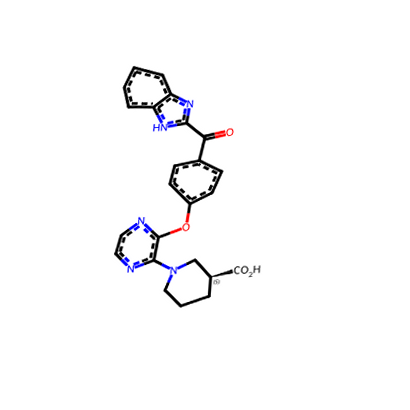 O=C(c1ccc(Oc2nccnc2N2CCC[C@H](C(=O)O)C2)cc1)c1nc2ccccc2[nH]1